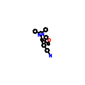 N#Cc1ccc(-c2ccc3c(c2)C2(c4ccccc4Oc4ccccc42)c2cc(-c4nc(-c5ccccc5)cc(-c5ccccc5)n4)ccc2-3)cc1